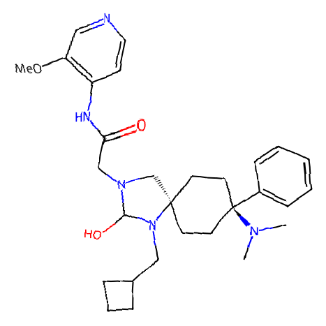 COc1cnccc1NC(=O)CN1C[C@]2(CC[C@](c3ccccc3)(N(C)C)CC2)N(CC2CCC2)C1O